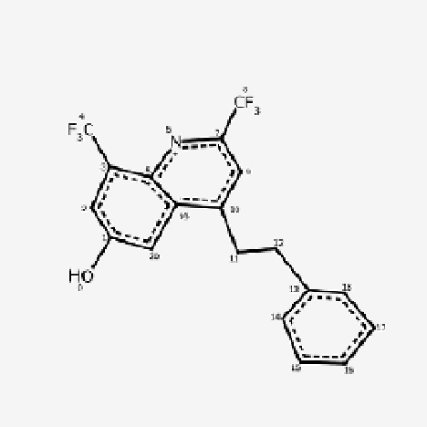 Oc1cc(C(F)(F)F)c2nc(C(F)(F)F)cc(CCc3ccccc3)c2c1